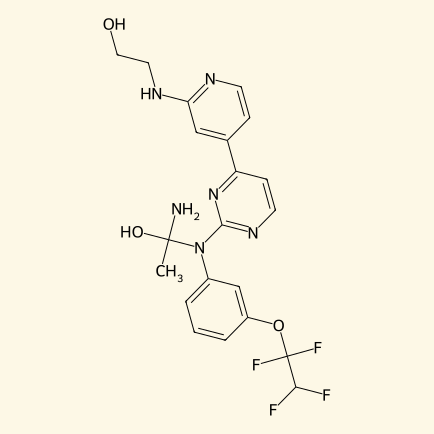 CC(N)(O)N(c1cccc(OC(F)(F)C(F)F)c1)c1nccc(-c2ccnc(NCCO)c2)n1